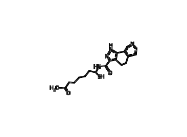 CC(=O)CCCCCC(S)NC(=O)c1n[nH]c2c1CCc1ccncc1-2